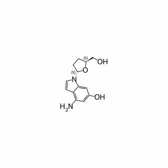 Nc1cc(O)cc2c1ccn2[C@@H]1CC[C@@H](CO)O1